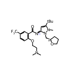 CN(C)CCOc1ccc(C(F)(F)F)cc1C(=O)/N=c1\cc(C(C)(C)C)n(C)n1C[C@H]1CCCO1